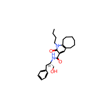 CCCCn1c2c(cc(C(=O)N[C@H](CO)Cc3ccccc3)c1=O)CCCCCC2